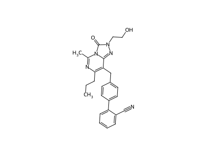 CCCc1nc(C)n2c(=O)n(CCO)nc2c1Cc1ccc(-c2ccccc2C#N)cc1